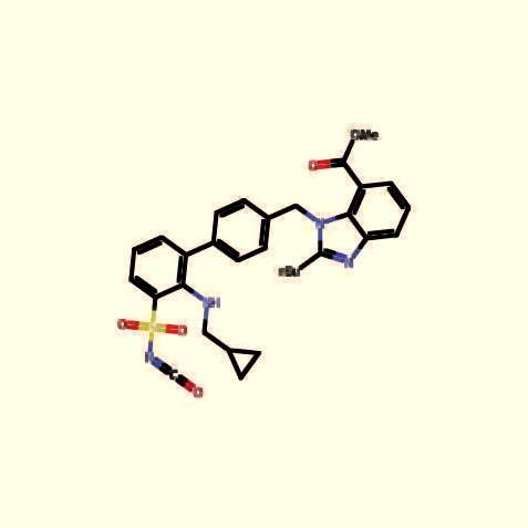 CCCCc1nc2cccc(C(=O)OC)c2n1Cc1ccc(-c2cccc(S(=O)(=O)N=C=O)c2NCC2CC2)cc1